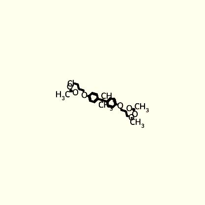 COCC(COc1ccc(C(C)(C)c2ccc(OCC(CCl)OC(C)=O)cc2)cc1)OC(C)=O